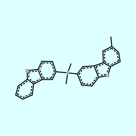 Cc1ccc2oc3ccc(S(C)(C)c4ccc5oc6ccccc6c5c4)cc3c2c1